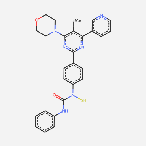 CSc1c(-c2cccnc2)nc(-c2ccc(N(S)C(=O)Nc3ccccc3)cc2)nc1N1CCOCC1